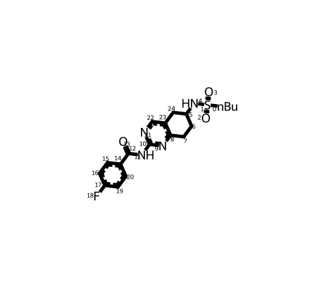 CCCCS(=O)(=O)NC1CCc2nc(NC(=O)c3ccc(F)cc3)ncc2C1